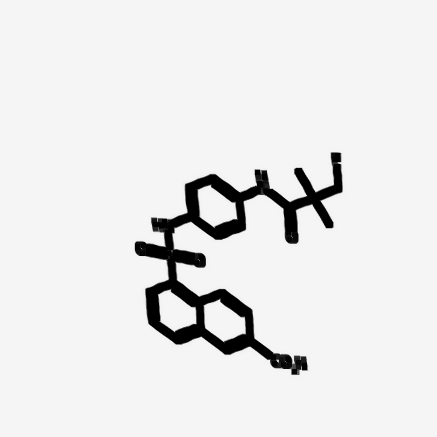 CC(C)(CF)C(=O)Nc1ccc(NS(=O)(=O)c2cccc3cc(C(=O)O)ccc23)cc1